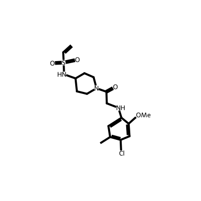 C=CS(=O)(=O)NC1CCN(C(=O)CNc2cc(C)c(Cl)cc2OC)CC1